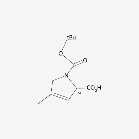 CC1=C[C@@H](C(=O)O)N(C(=O)OC(C)(C)C)C1